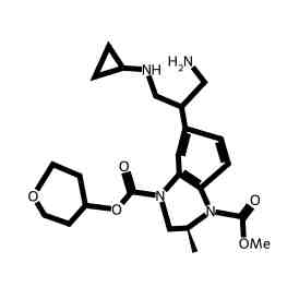 COC(=O)N1c2ccc(C(CN)CNC3CC3)cc2N(C(=O)OC2CCOCC2)C[C@@H]1C